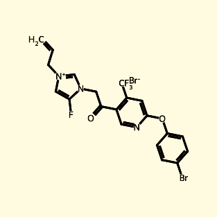 C=CC[n+]1cc(F)n(CC(=O)c2cnc(Oc3ccc(Br)cc3)cc2C(F)(F)F)c1.[Br-]